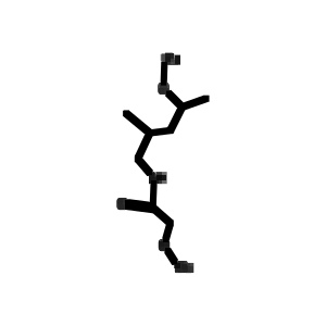 CC(CNC(=O)COC(C)(C)C)CC(C)OC(C)(C)C